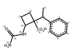 CC(c1ccccc1)C1(C(=O)O)CCC1NC(N)=O